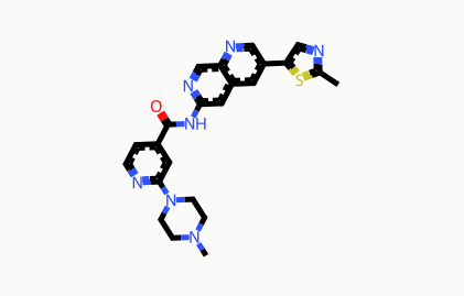 Cc1ncc(-c2cnc3cnc(NC(=O)c4ccnc(N5CCN(C)CC5)c4)cc3c2)s1